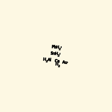 [AlH3].[Au].[CaH2].[PbH2].[SnH2]